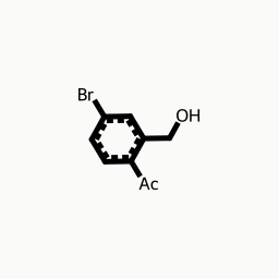 CC(=O)c1ccc(Br)cc1CO